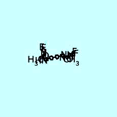 C[C@H](CC(=O)N1CCC(F)(F)CC1)c1nc(-c2ccc(-c3ccc(-c4c[nH]c([C@H](C)CC(=O)N5CCC(F)(F)CC5)n4)cc3)cc2)c[nH]1